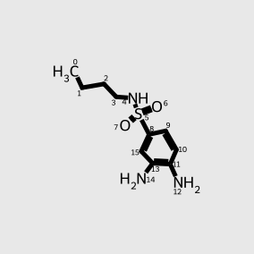 CCCCNS(=O)(=O)c1ccc(N)c(N)c1